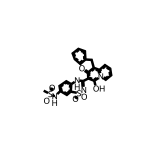 CS(=O)(=O)Nc1ccc2c(c1)S(=O)(=O)N=C(c1c(O)n3ccccc3c(Cc3ccccc3)c1=O)N2